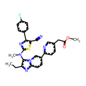 CCc1nc2ccc(-c3ccc(CC(=O)OC)cn3)cn2c1N(C)c1nc(-c2ccc(F)cc2)c(C#N)s1